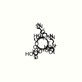 CC[C@H]1OC(=O)[C@H](C)[C@@H](O[C@H]2C[C@@](C)(OC)[C@@H](O)[C@H](C)O2)[C@H](C)[C@@H](O[C@@H]2O[C@H](C)C[C@H](N(C)CCc3cn(CCc4ccc(-c5csnn5)s4)nn3)[C@H]2O)[C@](C)(O)C[C@@H](C)CN(C)[C@H](C)[C@@H](O)[C@]1(C)O